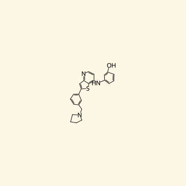 Oc1cccc(Nc2ccnc3cc(-c4cccc(CN5CCCC5)c4)sc23)c1